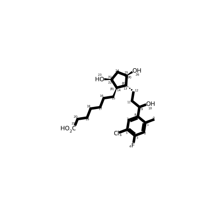 Cc1cc(F)c(Cl)cc1C(O)CC[C@@H]1[C@@H](CCCCCCC(=O)O)[C@@H](O)C[C@H]1O